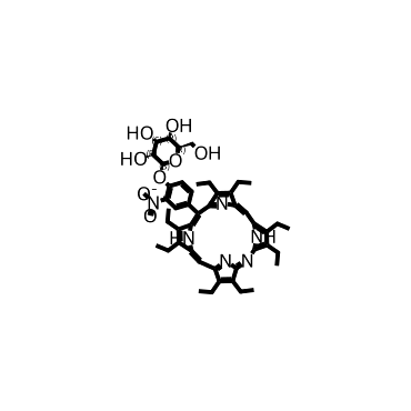 CCC1=C(CC)c2nc1cc1[nH]c(c(CC)c1CC)c(-c1ccc(O[C@@H]3O[C@H](CO)[C@H](O)[C@H](O)[C@H]3O)c([N+](=O)[O-])c1)c1nc(cc3[nH]c(n2)c(CC)c3CC)C(CC)=C1CC